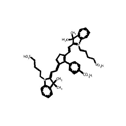 CC1(C)C(/C=C/C2=C(c3ccc(C(=O)O)cc3)C(=C/C=C3/N(CCCCS(=O)(=O)O)c4ccccc4C3(C)C)/CC2)=[N+](CCCCS(=O)(=O)O)c2ccccc21